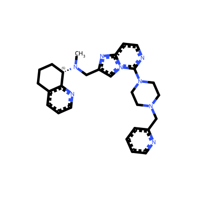 CN(Cc1cn2c(N3CCN(Cc4ccccn4)CC3)nccc2n1)[C@H]1CCCc2cccnc21